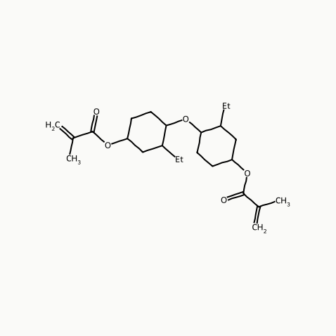 C=C(C)C(=O)OC1CCC(OC2CCC(OC(=O)C(=C)C)CC2CC)C(CC)C1